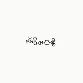 CC(C)(C)NC(=O)OC1CN(c2ccc([N+](=O)[O-])cc2)C1